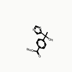 COC(=O)c1ccc(C(C)(O)c2cncs2)cc1